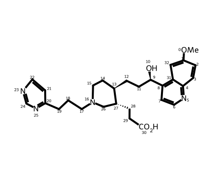 COc1ccc2nccc([C@H](O)CC[C@@H]3CCN(CCCc4ccncn4)C[C@H]3CCC(=O)O)c2c1